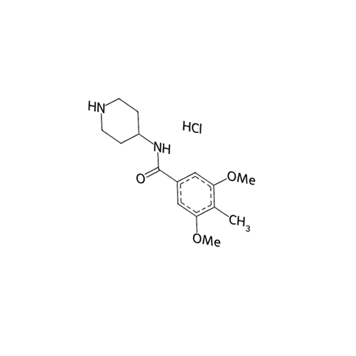 COc1cc(C(=O)NC2CCNCC2)cc(OC)c1C.Cl